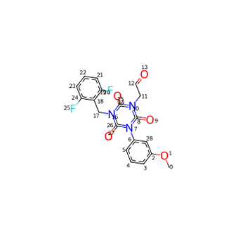 COc1cccc(-n2c(=O)n(CC=O)c(=O)n(Cc3c(F)cccc3F)c2=O)c1